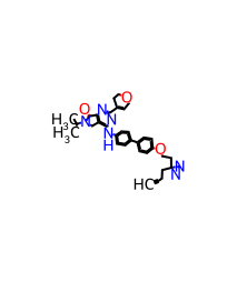 C#CCCC1(CCOc2ccc(-c3ccc(Nc4nc(C5=CCOCC5)nc5c4CN(C(C)C)C5=O)cc3)cc2)N=N1